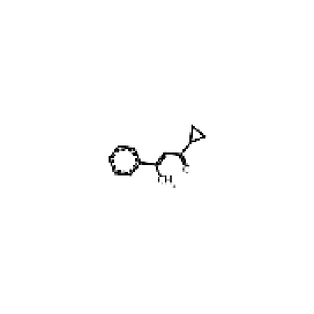 CC(=CC(=O)C1CC1)c1ccccc1